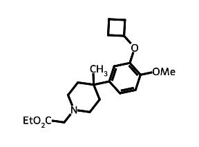 CCOC(=O)CN1CCC(C)(c2ccc(OC)c(OC3CCC3)c2)CC1